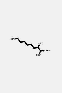 CCCCCCCC(O)C(O)CCCCCCO